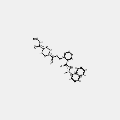 C[C@@H](NC(=O)c1ccccc1CCC(=O)N1CCN(C(=O)OC(C)(C)C)CC1)c1cccc2ccccc12